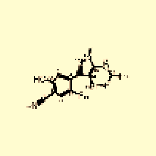 Cn1nc(-c2cc(O)c(C#N)cc2F)c(Br)c1OC(F)F